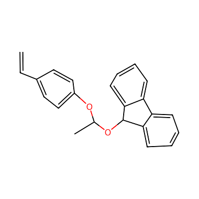 C=Cc1ccc(OC(C)OC2c3ccccc3-c3ccccc32)cc1